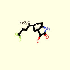 CCOC(=O)C(CCC(F)F)c1ccc2c(c1)C(=O)C(=O)N2